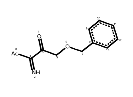 CC(=O)C(=N)C(=O)COCc1ccccc1